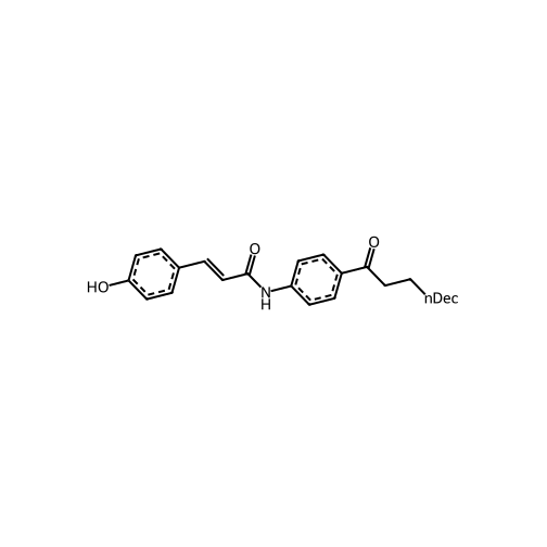 CCCCCCCCCCCCC(=O)c1ccc(NC(=O)/C=C/c2ccc(O)cc2)cc1